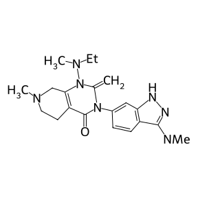 C=C1N(c2ccc3c(NC)n[nH]c3c2)C(=O)C2=C(CN(C)CC2)N1N(C)CC